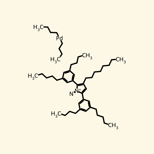 CCCCCCCCC1=C(c2cc(CCCC)cc(CCCCC)c2)[N+](=[N-])C(c2cc(CCCC)cc(CCCCC)c2)=C1.CCC[CH2][Pd][CH2]CCC